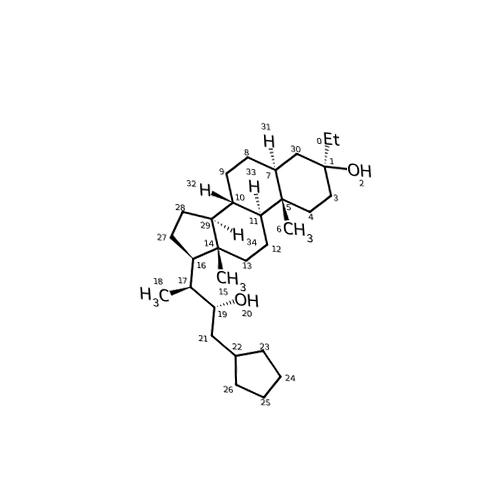 CC[C@]1(O)CC[C@@]2(C)[C@@H](CC[C@@H]3[C@@H]2CC[C@]2(C)[C@@H]([C@H](C)[C@H](O)CC4CCCC4)CC[C@@H]32)C1